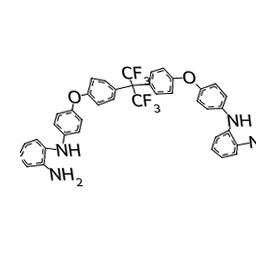 Nc1ccccc1Nc1ccc(Oc2ccc(C(c3ccc(Oc4ccc(Nc5ccccc5N)cc4)cc3)(C(F)(F)F)C(F)(F)F)cc2)cc1